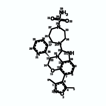 Cc1noc(C)c1-c1ccc2c3c1OC[C@H](c1ccccn1)N3C(N1CCCN(S(N)(=O)=O)CC1)N2